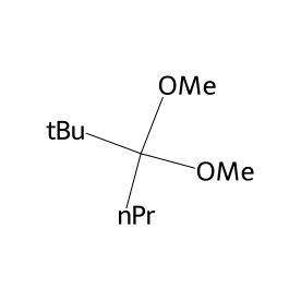 CCCC(OC)(OC)C(C)(C)C